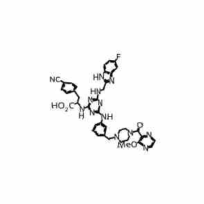 COc1nccnc1C(=O)N1CCN(Cc2cccc(Nc3nc(NCc4nc5cc(F)ccc5[nH]4)nc(NC(Cc4ccc(C#N)cc4)C(=O)O)n3)c2)CC1